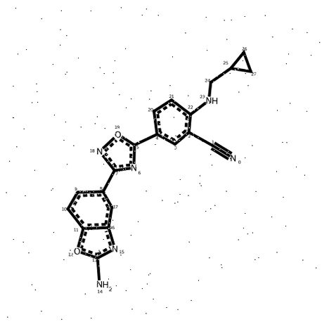 N#Cc1cc(-c2nc(-c3ccc4oc(N)nc4c3)no2)ccc1NCC1CC1